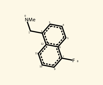 CNCc1cccc2c(F)cccc12